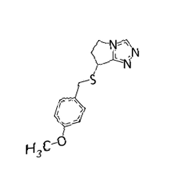 COc1ccc(CSC2CCn3cnnc32)cc1